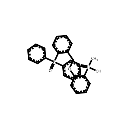 CP(=O)(O)c1ccccc1OCc1ccccc1P(=O)(c1ccccc1)c1ccccc1